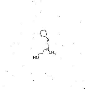 CN(CCCO)CCSc1ccccc1